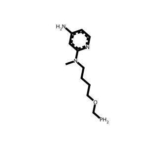 CN(CCCCOCP)c1cc(N)ccn1